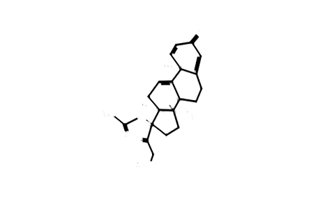 CC(=O)OCC(=O)[C@@]1(OC(=O)C(C)(C)C)CC[C@H]2[C@@H]3CCC4=CC(=O)C=C[C@]4(C)C3=CC[C@@]21C